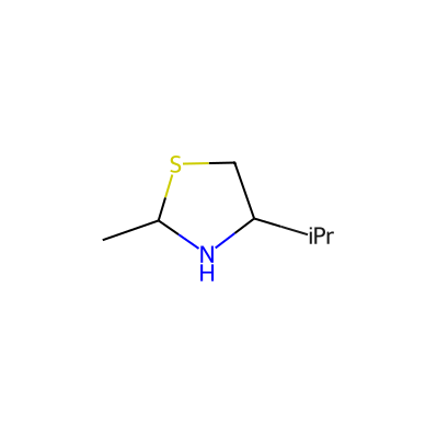 CC1NC(C(C)C)CS1